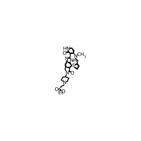 CCS(=O)(=O)CCN1CCC(N2Cc3cc4nc(-c5c(N(C)CCc6cccs6)cc[nH]c5=O)[nH]c4cc3C2=O)CC1